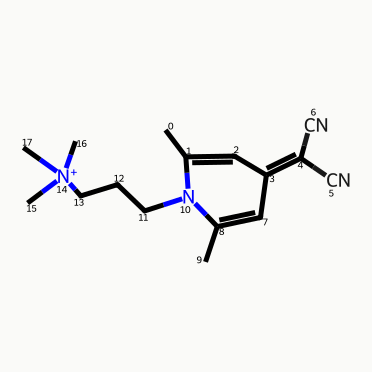 CC1=CC(=C(C#N)C#N)C=C(C)N1CCC[N+](C)(C)C